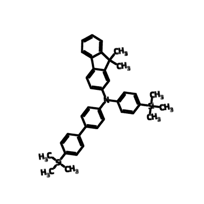 CC1(C)c2ccccc2-c2ccc(N(c3ccc(-c4ccc([Si](C)(C)C)cc4)cc3)c3ccc([Si](C)(C)C)cc3)cc21